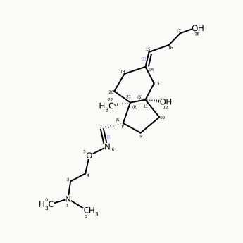 CN(C)CCO/N=C/[C@H]1CC[C@]2(O)C/C(=C\CCO)CC[C@]12C